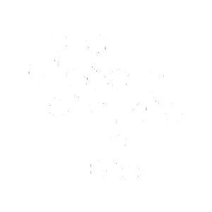 c1ccc(N(c2ccccc2)c2cc3c4c(c2)Oc2cc5c(cc2B4c2ccc(N4c6ccccc6Oc6ccccc64)cc2O3)B2c3ccccc3N(c3ccccc3)c3cc(N(c4ccccc4)c4ccccc4)cc(c32)N5c2ccccc2)cc1